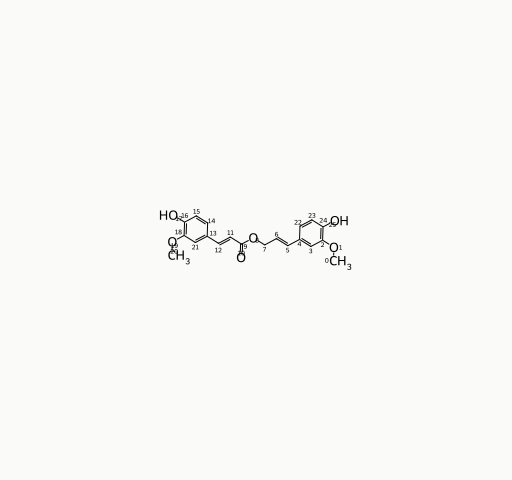 COc1cc(C=CCOC(=O)C=Cc2ccc(O)c(OC)c2)ccc1O